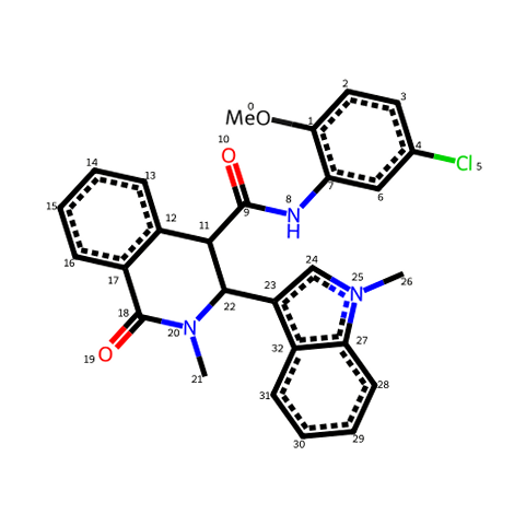 COc1ccc(Cl)cc1NC(=O)C1c2ccccc2C(=O)N(C)C1c1cn(C)c2ccccc12